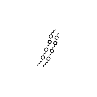 CCCCC[C@H]1CC[C@H](CC[C@H]2CC[C@H](CCc3ccc([C@H]4CC[C@H](CC)CC4)cc3)CC2)CC1.CCCCC[C@H]1CC[C@H](CC[C@H]2CC[C@H](CCc3ccc([C@H]4CC[C@H](CCCC)CC4)cc3)CC2)CC1